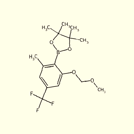 COCOc1cc(C(F)(F)F)cc(C)c1B1OC(C)(C)C(C)(C)O1